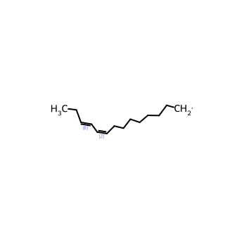 [CH2]CCCCCCC/C=C\C=C\CC